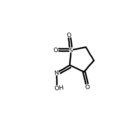 O=C1CCS(=O)(=O)/C1=N/O